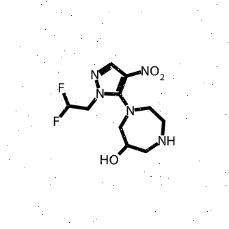 O=[N+]([O-])c1cnn(CC(F)F)c1N1CCNCC(O)C1